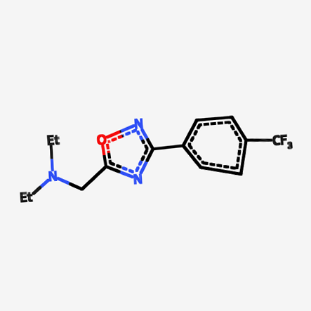 CCN(CC)Cc1nc(-c2ccc(C(F)(F)F)cc2)no1